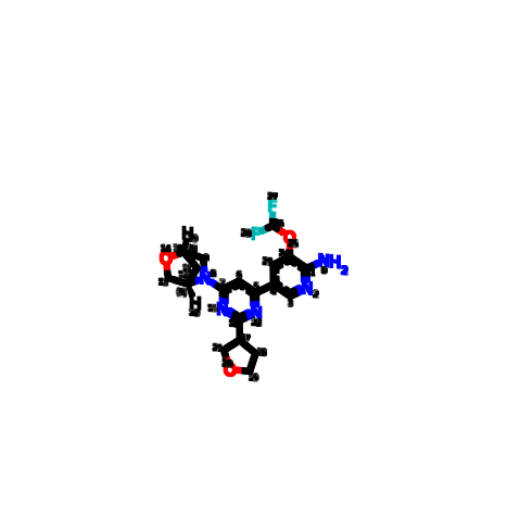 Nc1ncc(-c2cc(N3C[C@@H]4C[C@H]3CO4)nc(C3CCOC3)n2)cc1OC(F)F